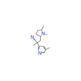 Cc1cncc(C(C)(C#N)CC2CCC(C)N2C)c1